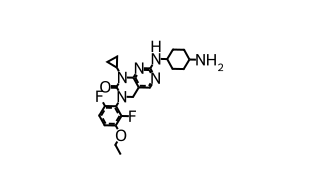 CCOc1ccc(F)c(N2Cc3cnc(NC4CCC(N)CC4)nc3N(C3CC3)C2=O)c1F